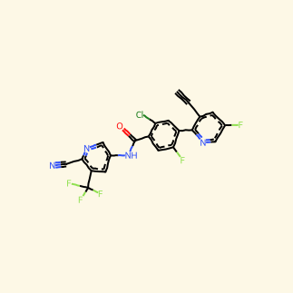 C#Cc1cc(F)cnc1-c1cc(Cl)c(C(=O)Nc2cnc(C#N)c(C(F)(F)F)c2)cc1F